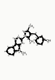 Cc1nn(-c2nnc3c4ccccc4n(C)c3n2)c(C)c1Cc1cccc(O)c1